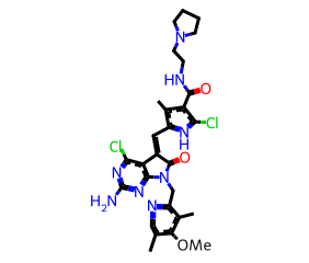 COc1c(C)cnc(CN2C(=O)/C(=C\c3[nH]c(Cl)c(C(=O)NCCN4CCCC4)c3C)c3c(Cl)nc(N)nc32)c1C